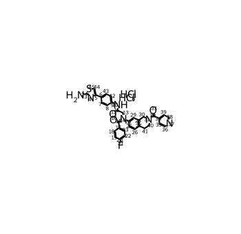 Cl.Cl.Nc1nc(-c2ccc(NC(=O)CN(C(=O)c3ccc(F)cc3)c3ccc4c(c3)CN(C(=O)c3ccncc3)CC4)cc2)cs1